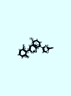 Cc1nc([C@@]23CCC[C@@H](CC2)c2cc(-c4c(F)cccc4F)nnc23)co1